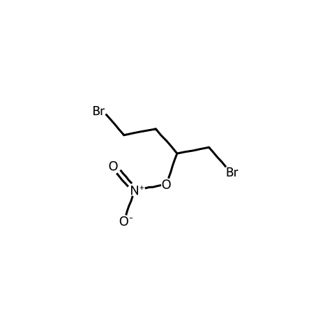 O=[N+]([O-])OC(CBr)CCBr